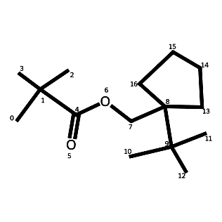 CC(C)(C)C(=O)OCC1(C(C)(C)C)CCCC1